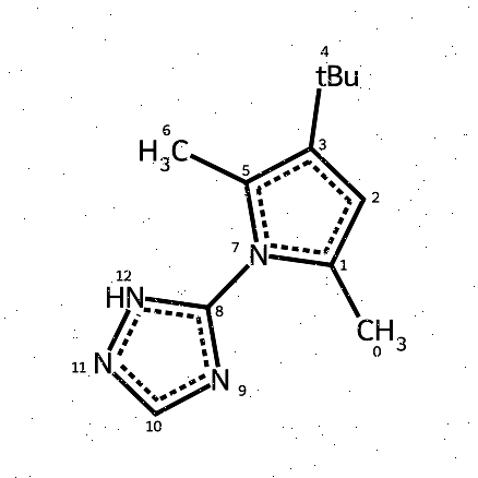 Cc1cc(C(C)(C)C)c(C)n1-c1ncn[nH]1